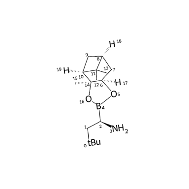 CC(C)(C)C[C@H](N)B1O[C@@H]2C[C@@H]3C[C@@H](C3(C)C)[C@]2(C)O1